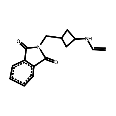 C=CNC1CC(CN2C(=O)c3ccccc3C2=O)C1